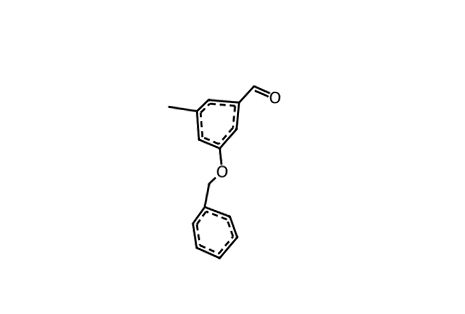 Cc1cc(C=O)cc(OCc2ccccc2)c1